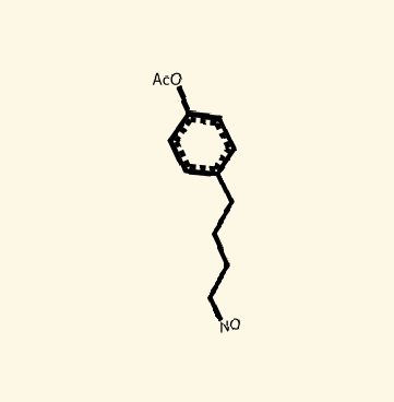 CC(=O)Oc1ccc(CCCCN=O)cc1